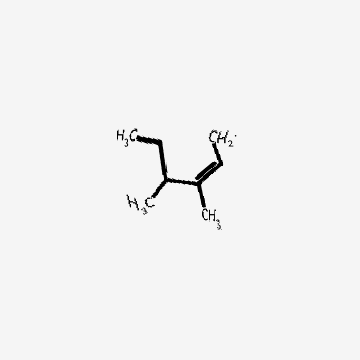 [CH2]C=C(C)C(C)CC